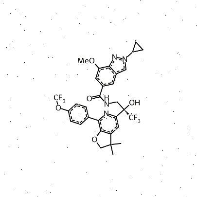 COc1cc(C(=O)NC[C@](O)(c2cc3c(c(-c4ccc(OC(F)(F)F)cc4)n2)OCC3(C)C)C(F)(F)F)cc2cn(C3CC3)nc12